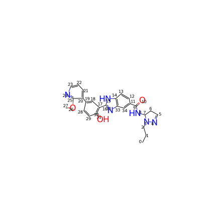 CCCN1N=CCC1NC(=O)c1ccc2[nH]c(-c3cc(-c4cccnc4OC)ccc3O)nc2c1